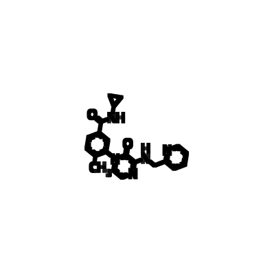 Cc1ccc(C(=O)NC2CC2)cc1-n1ccnc(NCc2ccccn2)c1=O